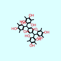 Cc1c(O)c(C)c(O)c(C(c2ccc(C(c3c(O)c(C)c(O)c(C)c3O)c3c(O)c(C)c(O)c(C)c3O)cc2)c2c(O)c(C)c(O)c(C)c2O)c1O